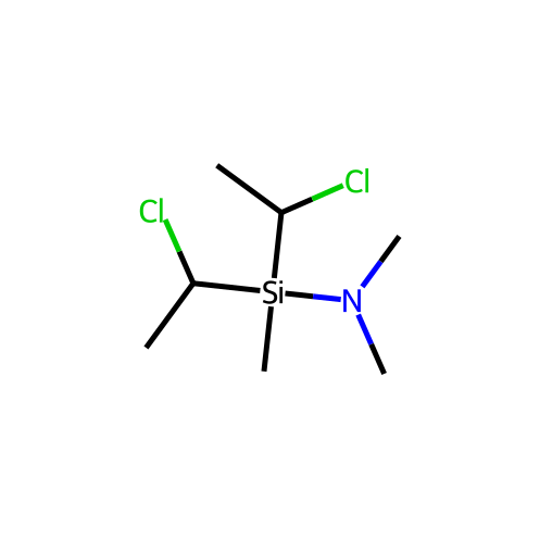 CC(Cl)[Si](C)(C(C)Cl)N(C)C